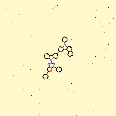 c1ccc(-c2cc3nc(-n4c5ccccc5c5cc(-c6ccc7c(c6)c6c8ccccc8ccc6n7-c6ccccc6)ccc54)nc(-c4ccccc4)c3o2)cc1